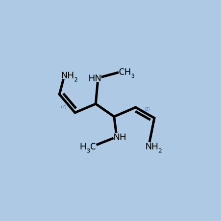 CNC(/C=C\N)C(/C=C\N)NC